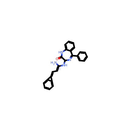 N/C(=C\C=C1c2ccccc21)NC1N=C(c2ccccc2)c2ccccc2NC1=O